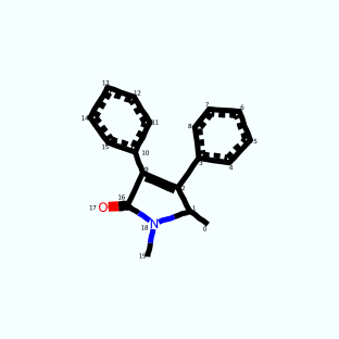 CC1C(c2ccccc2)=C(c2ccccc2)C(=O)N1C